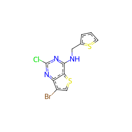 Clc1nc(NCc2cccs2)c2scc(Br)c2n1